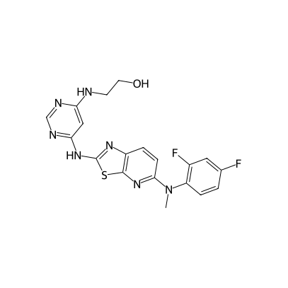 CN(c1ccc2nc(Nc3cc(NCCO)ncn3)sc2n1)c1ccc(F)cc1F